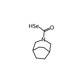 O=C([SeH])N1CC2CCC(CC2)C1